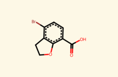 O=C(O)c1ccc(Br)c2c1OCC2